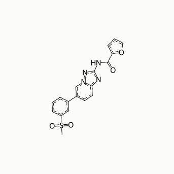 CS(=O)(=O)c1cccc(-c2ccc3nc(NC(=O)c4ccco4)nn3c2)c1